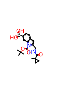 CC(C)(C)OC(=O)n1c(CNC(=O)C2(C)CC2)cc2ccc(B(O)O)cc21